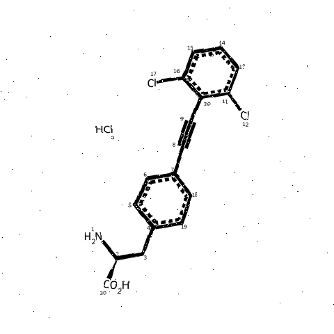 Cl.N[C@@H](Cc1ccc(C#Cc2c(Cl)cccc2Cl)cc1)C(=O)O